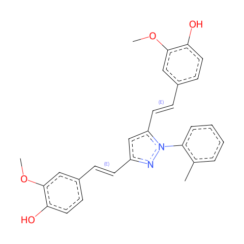 COc1cc(/C=C/c2cc(/C=C/c3ccc(O)c(OC)c3)n(-c3ccccc3C)n2)ccc1O